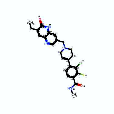 CCc1cc2ncc(CN3CC=C(c4ccc(C(=O)NC)c(F)c4Cl)CC3)cc2[nH]c1=O